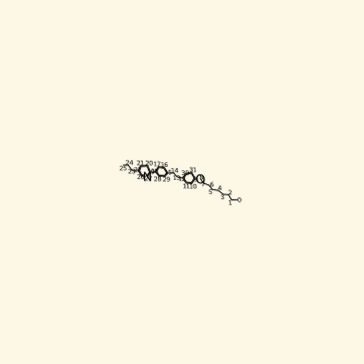 CCCCCCCCOc1ccc(CCc2ccc(-c3ccc(CCC)cn3)cc2)cc1